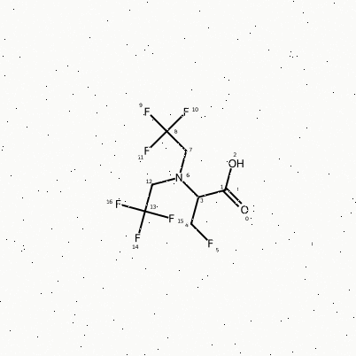 O=C(O)C(CF)N(CC(F)(F)F)CC(F)(F)F